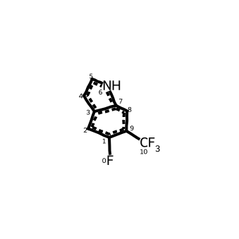 Fc1cc2cc[nH]c2cc1C(F)(F)F